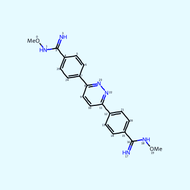 CONC(=N)c1ccc(-c2ccc(-c3ccc(C(=N)NOC)cc3)nn2)cc1